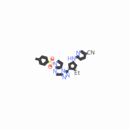 CC[C@@H]1C[C@H](Nc2ccc(C#N)cn2)C[C@@H]1c1nnc2cnc3c(ccn3S(=O)(=O)c3ccc(C)cc3)n12